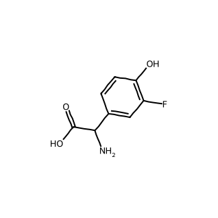 NC(C(=O)O)c1ccc(O)c(F)c1